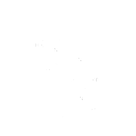 CCn1c(C(F)(F)F)c(-c2nc3ccccc3n(C)c2=O)c2ccccc21